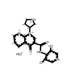 Cl.O=C(Nc1c(Cl)cncc1Cl)c1cn(C2CCNC2)c2ncccc2c1=O